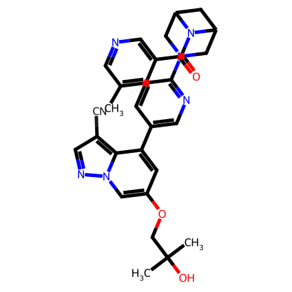 Cc1cncc(C(=O)N2C3CC2CN(c2ccc(-c4cc(OCC(C)(C)O)cn5ncc(C#N)c45)cn2)C3)c1